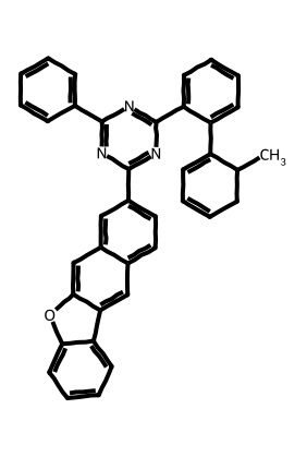 CC1CC=CC=C1c1ccccc1-c1nc(-c2ccccc2)nc(-c2ccc3cc4c(cc3c2)oc2ccccc24)n1